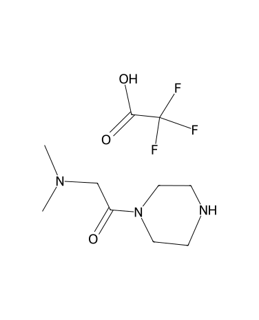 CN(C)CC(=O)N1CCNCC1.O=C(O)C(F)(F)F